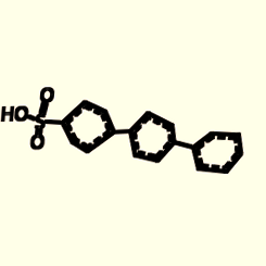 O=S(=O)(O)c1ccc(-c2ccc(-c3ccccc3)cc2)cc1